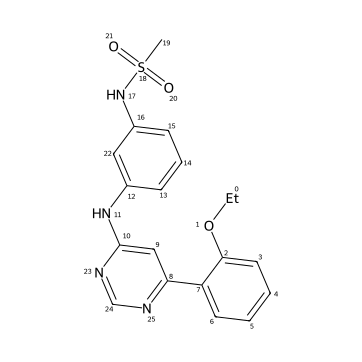 CCOc1ccccc1-c1cc(Nc2cccc(NS(C)(=O)=O)c2)ncn1